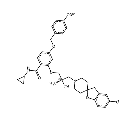 COc1ccc(COc2ccc(C(=O)NC3CC3)c(OC[C@@](C)(O)CN3CCC4(CC3)Cc3cc(Cl)ccc3O4)c2)cc1